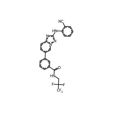 N#Cc1ccccc1Nc1nc2ccc(-c3cccc(C(=O)NCC(F)(F)C(F)(F)F)c3)cn2n1